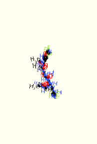 CC(=O)N[C@@H](Cc1ccc(Oc2c(F)c(F)nc(F)c2F)cc1)C(=O)N[C@H](C)C(=O)NCC(=O)NCC(=O)NCC(=O)N[C@H](CCCCNc1c(F)c(F)nc(F)c1F)C(=O)NC(C)C(=O)N[C@H](CC(C)C)C(N)=O